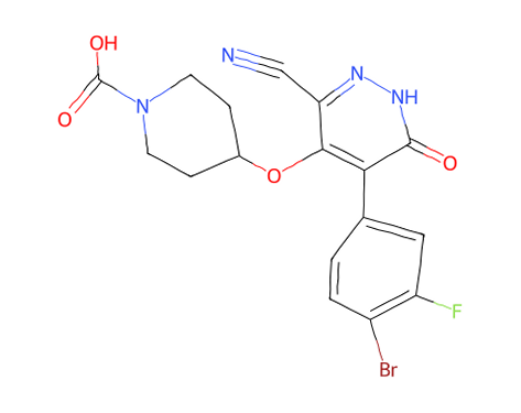 N#Cc1n[nH]c(=O)c(-c2ccc(Br)c(F)c2)c1OC1CCN(C(=O)O)CC1